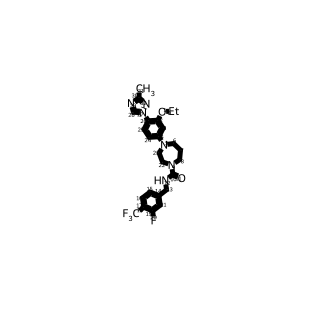 CCOc1cc(N2CCCN(C(=O)NCc3ccc(C(F)(F)F)c(F)c3)CC2)ccc1-n1cnc(C)n1